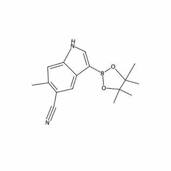 Cc1cc2[nH]cc(B3OC(C)(C)C(C)(C)O3)c2cc1C#N